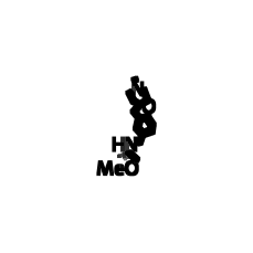 COC[C@H](C)NCc1ccc2c(c1)CC1(CCN(C)CC1)O2